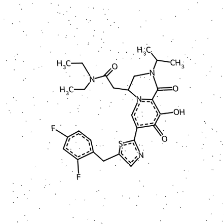 CCN(CC)C(=O)CC1CN(C(C)C)C(=O)c2c(O)c(=O)c(-c3ncc(Cc4ccc(F)cc4F)s3)cn21